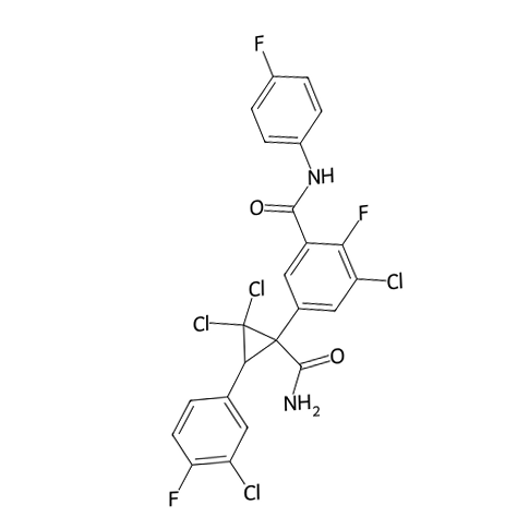 NC(=O)C1(c2cc(Cl)c(F)c(C(=O)Nc3ccc(F)cc3)c2)C(c2ccc(F)c(Cl)c2)C1(Cl)Cl